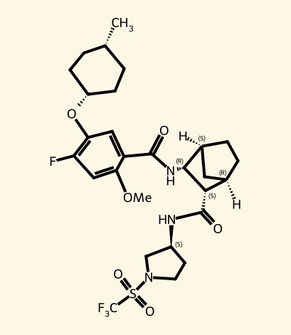 COc1cc(F)c(O[C@H]2CC[C@@H](C)CC2)cc1C(=O)N[C@@H]1[C@H]2CC[C@H](C2)[C@@H]1C(=O)N[C@H]1CCN(S(=O)(=O)C(F)(F)F)C1